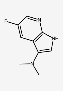 CN(C)c1c[nH]c2ncc(F)cc12